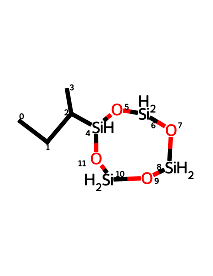 CCC(C)[SiH]1O[SiH2]O[SiH2]O[SiH2]O1